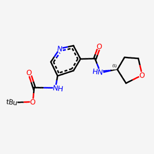 CC(C)(C)OC(=O)Nc1cncc(C(=O)N[C@H]2CCOC2)c1